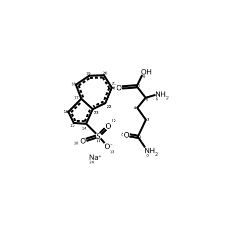 NC(=O)CCC(N)C(=O)O.O=S(=O)([O-])c1ccc2cccccc1-2.[Na+]